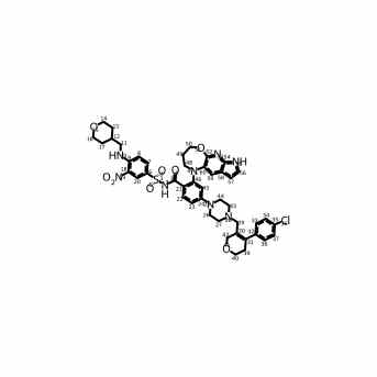 O=C(NS(=O)(=O)c1ccc(NCC2CCOCC2)c([N+](=O)[O-])c1)c1ccc(N2CCN(CC3=C(c4ccc(Cl)cc4)CCOC3)CC2)cc1N1CCCOc2nc3[nH]ccc3cc21